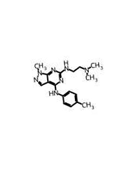 Cc1ccc(Nc2nc(NCCN(C)C)nc3c2cnn3C)cc1